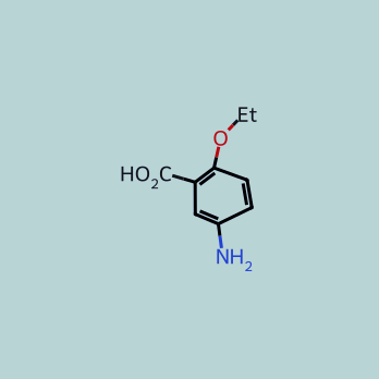 CCOc1ccc(N)cc1C(=O)O